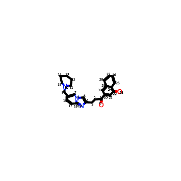 O=C(CCc1cn2cc(CN3CCCCC3)ccc2n1)C1=CC(=O)C2C=CC=CC2=C1